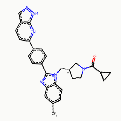 O=C(C1CC1)N1CC[C@H](Cn2c(-c3ccc(-c4ccc5cn[nH]c5n4)cc3)nc3cc(C(F)(F)F)ccc32)C1